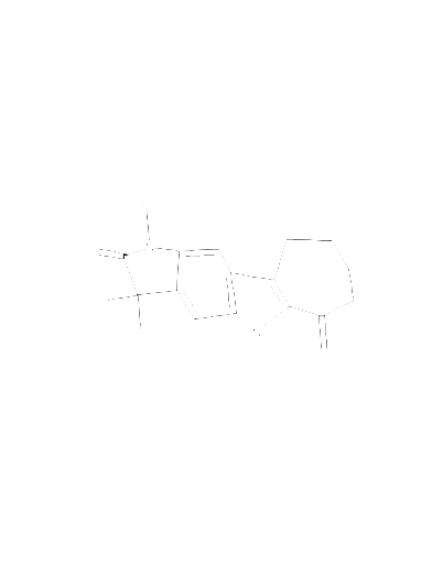 CCN1C(=O)C(CC)(CC)c2cc3[nH]c4c(c3cc21)CCCCC4=O